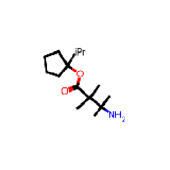 CC(C)C1(OC(=O)C(C)(C)C(C)(C)N)CCCC1